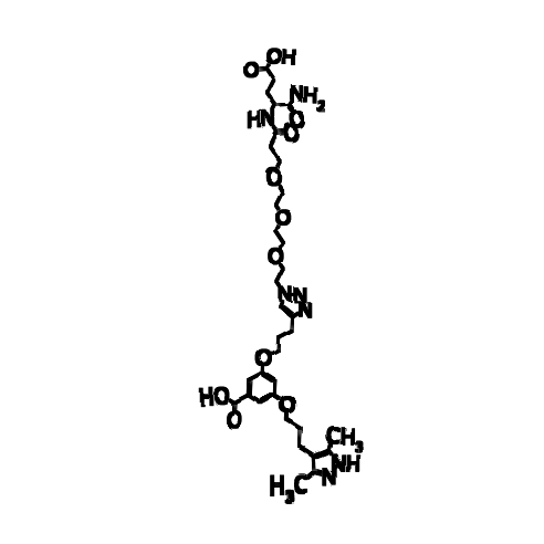 Cc1n[nH]c(C)c1CCCOc1cc(OCCCc2cn(CCOCCOCCOCCC(=O)NC(CCC(=O)O)C(N)=O)nn2)cc(C(=O)O)c1